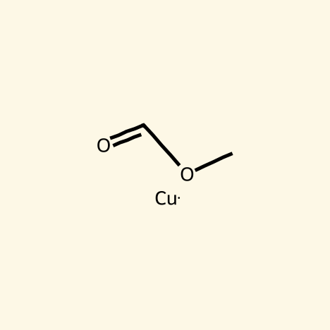 COC=O.[Cu]